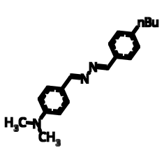 CCCCc1ccc(/C=N/N=C/c2ccc(N(C)C)cc2)cc1